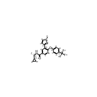 C[C@H](NC(=O)c1cnc(Oc2ccc(C(F)(F)F)cc2)c(-c2ccn(C)n2)c1)C1CC1